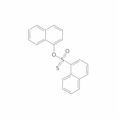 O=S(=S)(Oc1cccc2ccccc12)c1cccc2ccccc12